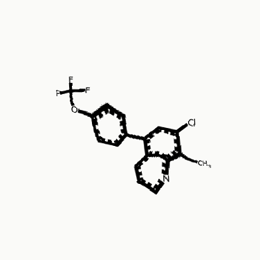 Cc1c(Cl)cc(-c2ccc(OC(F)(F)F)cc2)c2cccnc12